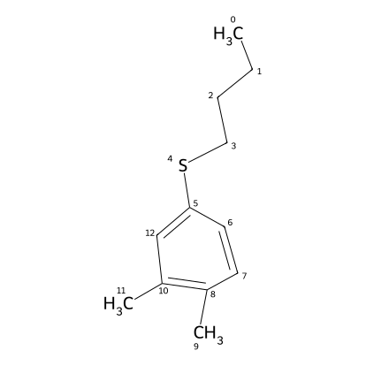 CCCCSc1ccc(C)c(C)c1